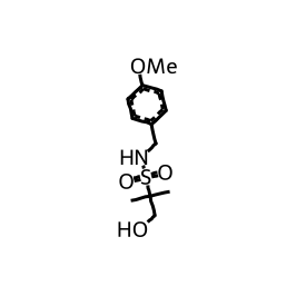 COc1ccc(CNS(=O)(=O)C(C)(C)CO)cc1